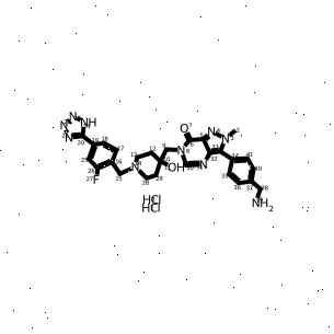 Cl.Cl.Cn1nc2c(=O)n(CC3(O)CCN(Cc4ccc(-c5nnn[nH]5)cc4F)CC3)cnc2c1-c1ccc(CN)cc1